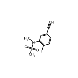 C#Cc1ccc(I)c(N(C)S(C)(=O)=O)c1